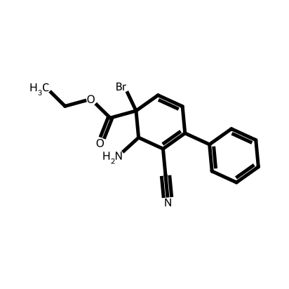 CCOC(=O)C1(Br)C=CC(c2ccccc2)=C(C#N)C1N